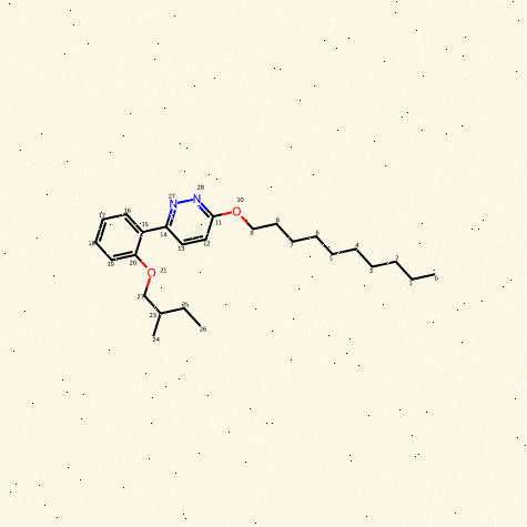 CCCCCCCCCCOc1ccc(-c2ccccc2OCC(C)CC)nn1